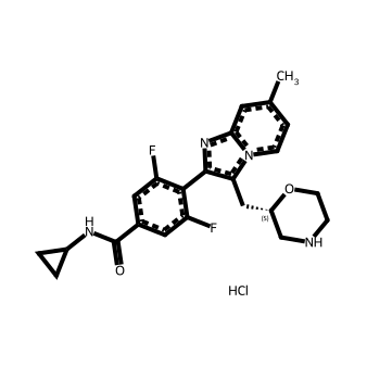 Cc1ccn2c(C[C@H]3CNCCO3)c(-c3c(F)cc(C(=O)NC4CC4)cc3F)nc2c1.Cl